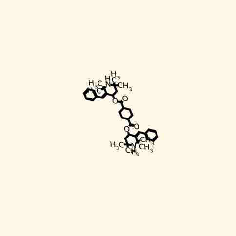 CC1(C)CC(OC(=O)C2CCC(C(=O)OC3CC(C)(C)NC(C)(C)C3=Cc3ccccc3)CC2)C(=Cc2ccccc2)C(C)(C)N1